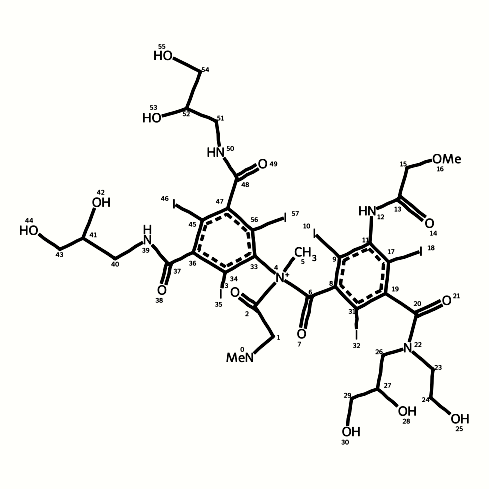 CNCC(=O)[N+](C)(C(=O)c1c(I)c(NC(=O)COC)c(I)c(C(=O)N(CCO)CC(O)CO)c1I)c1c(I)c(C(=O)NCC(O)CO)c(I)c(C(=O)NCC(O)CO)c1I